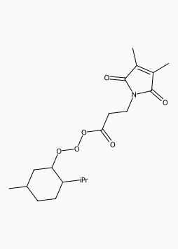 CC1=C(C)C(=O)N(CCC(=O)OOOC2CC(C)CCC2C(C)C)C1=O